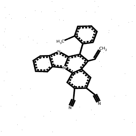 C=Cc1c(-c2ccccc2C)c2nc3ccccc3n2c2cc(C#N)c(C#N)cc12